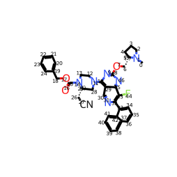 CN1CCC[C@H]1COc1nc(N2CCN(C(=O)OCc3ccccc3)[C@@H](CC#N)C2)c2cnc(-c3cccc4ccccc34)c(F)c2n1